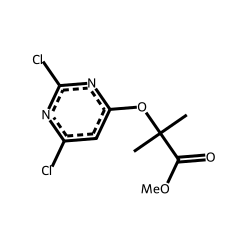 COC(=O)C(C)(C)Oc1cc(Cl)nc(Cl)n1